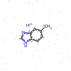 Cc1ccc2[nH]cnc2c1.I